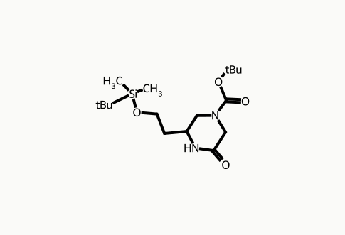 CC(C)(C)OC(=O)N1CC(=O)NC(CCO[Si](C)(C)C(C)(C)C)C1